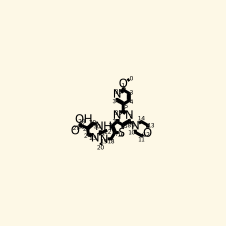 COc1ccc(-c2nc(N3CCOCC3)c3sc(CN(C)C4(C)N=CC(C(=O)O)=CN4)cc3n2)cn1